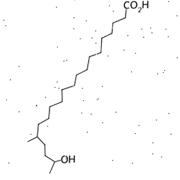 CC(O)CCC(C)CCCCCCCCCCCCCCC(=O)O